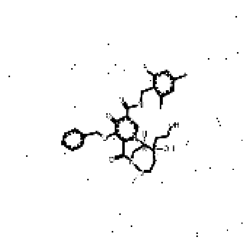 C[C@H]1CC[C@@](O)(CCO)[C@H]2CN1C(=O)c1c(OCc3ccccc3)c(=O)c(C(=O)NCc3c(F)cc(F)cc3F)cn12